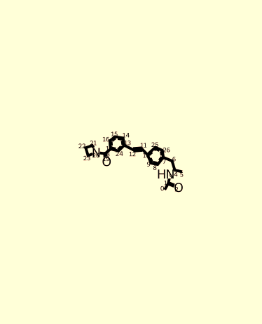 CC(=O)NC(C)Cc1ccc(C#Cc2cccc(C(=O)N3CCC3)c2)cc1